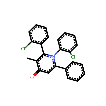 Cc1c(-c2ccccc2Cl)n(-c2ccccc2Cl)c(-c2ccccc2)cc1=O